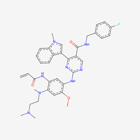 C=CC(=O)Nc1cc(Nc2ncc(C(=O)NCc3ccc(F)cc3)c(-c3cn(C)c4ccccc34)n2)c(OC)cc1N(C)CCN(C)C